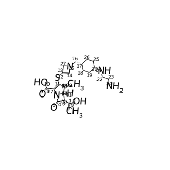 C[C@@H](O)[C@H]1C(=O)N2C(C(=O)O)=C(SC3CN(C[C@H]4CC[C@@H](NCCN)CC4)C3)[C@H](C)[C@H]12